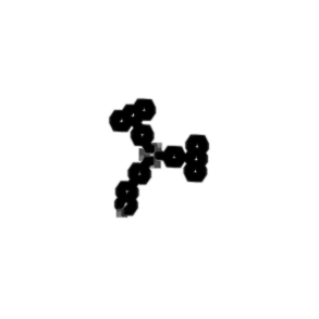 c1ccc2c(-c3ccc(-c4nc(-c5ccc(-c6ccc7cnccc7c6)cc5)nc(-c5ccc(-c6c7ccccc7cc7ccccc67)cc5)n4)cc3)c3ccccc3cc2c1